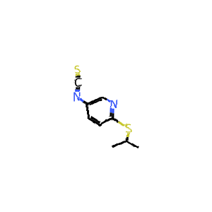 CC(C)Sc1ccc(N=C=S)cn1